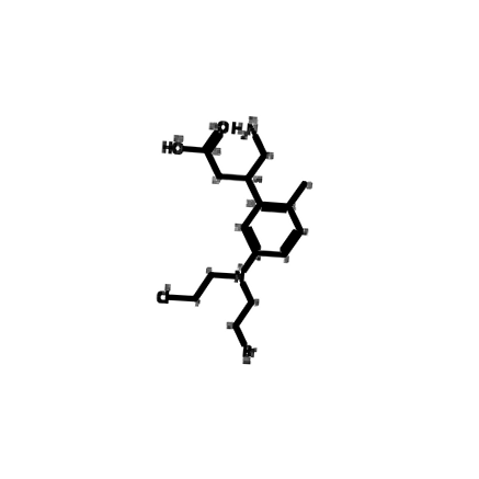 Cc1ccc(N(CCCl)CCBr)cc1C(CN)CC(=O)O